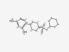 O=S(=O)(CC1CCCCC1)N1CCC(c2ccc(O)cc2O)CC1